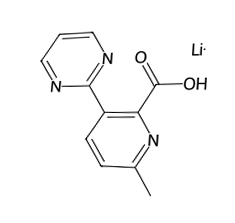 Cc1ccc(-c2ncccn2)c(C(=O)O)n1.[Li]